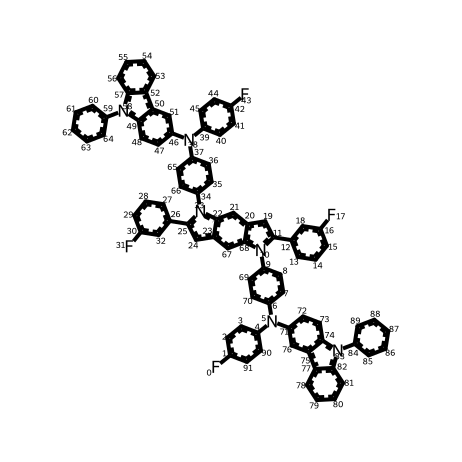 Fc1ccc(N(c2ccc(-n3c(-c4cccc(F)c4)cc4cc5c(cc(-c6cccc(F)c6)n5-c5ccc(N(c6ccc(F)cc6)c6ccc7c(c6)c6ccccc6n7-c6ccccc6)cc5)cc43)cc2)c2ccc3c(c2)c2ccccc2n3-c2ccccc2)cc1